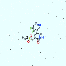 CS(=O)(=O)Cc1cc(C2CNCCC2(F)F)c[nH]c1=O